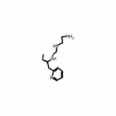 CCC(Cc1ccccn1)NCCNCCN